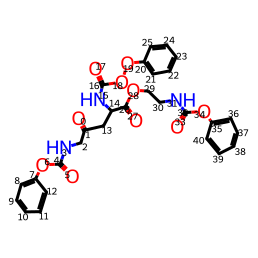 O=C(CNC(=O)Oc1ccccc1)CC(NC(=O)OOc1ccccc1)C(=O)OCCNC(=O)Oc1ccccc1